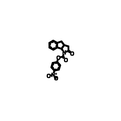 O=C1CC2Cc3ccccc3C2N1C(=O)Oc1ccc([N+](=O)[O-])cc1